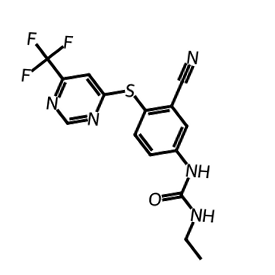 CCNC(=O)Nc1ccc(Sc2cc(C(F)(F)F)ncn2)c(C#N)c1